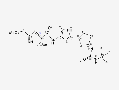 CN/C(=C\C(=N)COC)C(=O)Nc1cc([C@@H]2CC[C@H](N3CC(C)(C)NC3=O)C2)[nH]n1